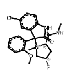 CNC(=O)[C@H]1C[C@H](F)C[N+]1(C)C1(c2ccccc2OC)C(=O)Nc2ccc(Cl)cc21